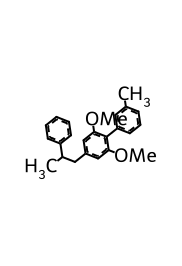 COc1cc(CC(C)c2ccccc2)cc(OC)c1-c1cccc(C)c1